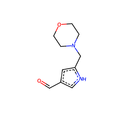 O=Cc1c[nH]c(CN2CCOCC2)c1